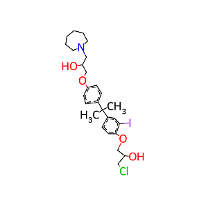 CC(C)(c1ccc(OCC(O)CN2CCCCCC2)cc1)c1ccc(OCC(O)CCl)c(I)c1